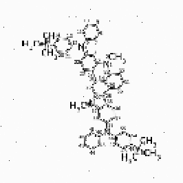 CN1c2cc(N(c3ccccc3)c3ccc(C(C)(C)C)cc3)ccc2-c2cc3c(c4cccc1c24)c1ccc(N(c2ccccc2)c2ccc(C(C)(C)C)cc2)cc1n3C